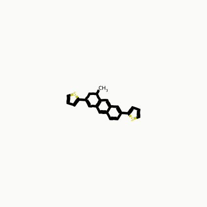 CC1CC(c2cccs2)=Cc2cc3ccc(-c4cccs4)cc3cc21